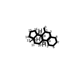 CC1CC2=C(CCCC2)[C@H]2CC[C@]3(C)CCC[C@H]3[C@H]12